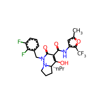 CCC[C@]12CCCN1N(Cc1cccc(F)c1F)C(=O)C(C(=O)Nc1cc(C)oc1C(F)(F)F)=C2O